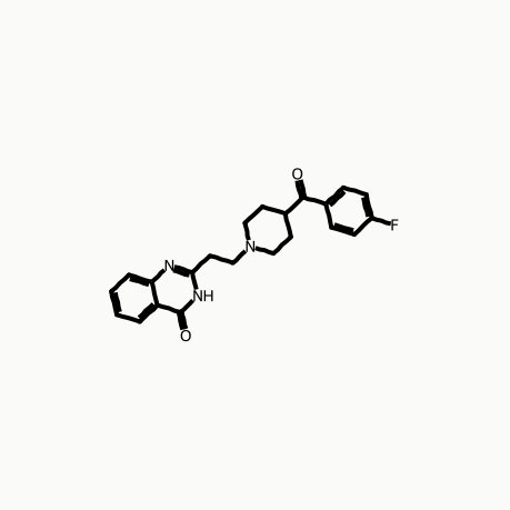 O=C(c1ccc(F)cc1)C1CCN(CCc2nc3ccccc3c(=O)[nH]2)CC1